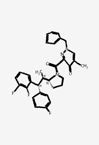 Cc1cn(Cc2ccccc2)nc(C(=O)N2CCC[C@@H]2[C@H](C)[C@H](c2ccc(F)cc2)c2cccc(F)c2F)c1=O